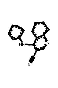 N#Cc1cnc2ccccc2c1Nc1ccccc1